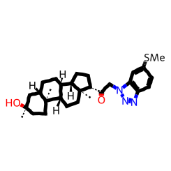 CSc1ccc2nnn(CC(=O)[C@H]3CC[C@H]4[C@@H]5CC[C@H]6C[C@](C)(O)CC[C@]6(C)[C@H]5CC[C@]34C)c2c1